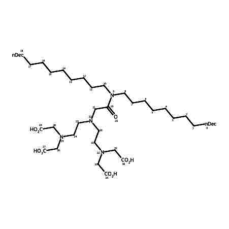 CCCCCCCCCCCCCCCCCCN(CCCCCCCCCCCCCCCCCC)C(=O)CN(CCN(CC(=O)O)CC(=O)O)CCN(CC(=O)O)CC(=O)O